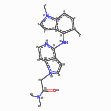 Cc1ccc2c(ccn2C)c1Nc1nccc2c1ccn2CC(=O)N(C)C